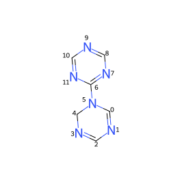 C1=NC=NCN1c1ncncn1